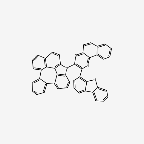 c1ccc2c(c1)-c1cccc3ccc4c(c13)c1c-2cccc1n4-c1nc2ccc3ccccc3c2nc1-c1cccc2c1sc1ccccc12